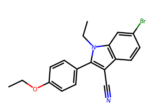 CCOc1ccc(-c2c(C#N)c3ccc(Br)cc3n2CC)cc1